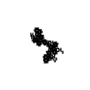 Cc1cccc(N(c2ccc3c(c2)C(C)(C)c2c-3ccc3ccccc23)c2cc(CC(C)c3ccc(N(c4ccc5c(c4)C(C)(C)c4c-5ccc5ccccc45)c4cccc5c4oc4ccccc45)cc3)cc3c2oc2ccccc23)c1